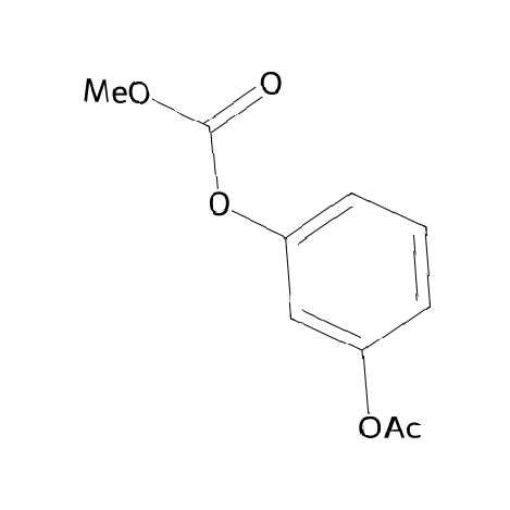 COC(=O)Oc1cccc(OC(C)=O)c1